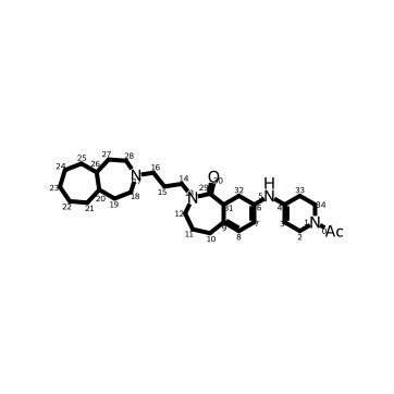 CC(=O)N1CC=C(NC2=CC=C3CCCN(CCCN4CCC5CCCCCC5CC4)C(=O)C3C2)CC1